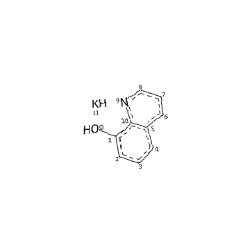 Oc1cccc2cccnc12.[KH]